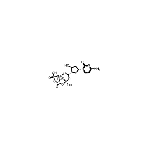 NOC(OP(=O)(O)OP(=O)(O)OP(=O)(O)O)[C@H]1O[C@@H](n2ccc(N)nc2=O)C[C@@H]1O